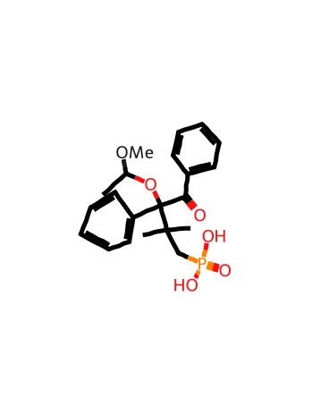 COC(C)OC(C(=O)c1ccccc1)(c1ccccc1)C(C)(C)CP(=O)(O)O